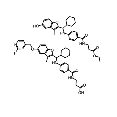 CCOC(=O)CCNC(=O)c1ccc(NC(c2oc3ccc(O)cc3c2C)C2CCCCC2)cc1.Cc1c(C(Nc2ccc(C(=O)NCCC(=O)O)cc2)C2CCCCC2)oc2ccc(OCc3ccnc(F)c3)cc12